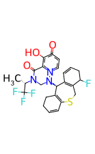 C[C@H](N1CN([C@H]2C3=C(CSC4=C2CCC=C4)C(F)CC=C3)n2ccc(=O)c(O)c2C1=O)C(F)(F)F